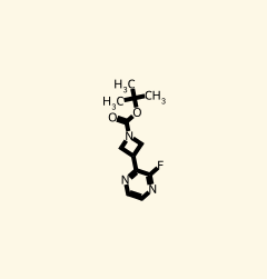 CC(C)(C)OC(=O)N1CC(c2nccnc2F)C1